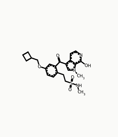 CNS(=O)(=O)CCc1ccc(OCC2CCC2)cc1C(=O)c1cn(C)c2c(O)nccc12